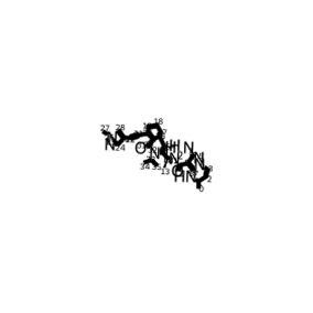 CC1C=Cn2nc(N)c(C(=O)N[C@@H](C)c3cc4cccc(C#Cc5cnn(C)c5)c4c(=O)n3C(C)C)c2N1